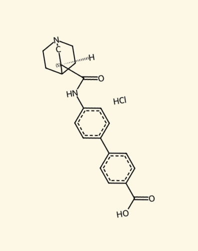 Cl.O=C(O)c1ccc(-c2ccc(NC(=O)[C@@H]3CN4CCC3CC4)cc2)cc1